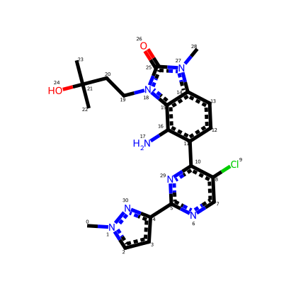 Cn1ccc(-c2ncc(Cl)c(-c3ccc4c(c3N)n(CCC(C)(C)O)c(=O)n4C)n2)n1